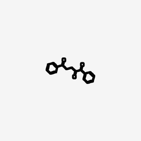 O=C(CCC(=O)c1ccccc1)C(=O)c1ccccc1